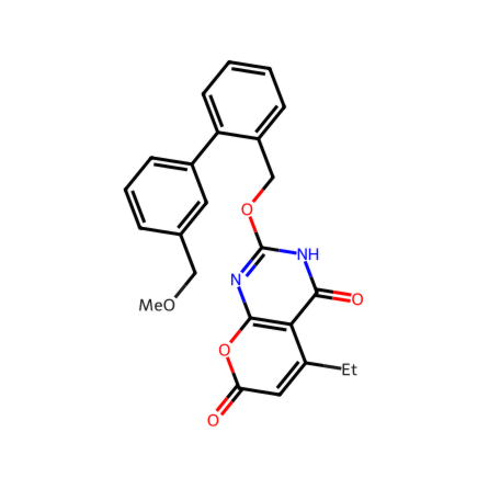 CCc1cc(=O)oc2nc(OCc3ccccc3-c3cccc(COC)c3)[nH]c(=O)c12